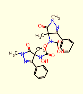 CN1N=C(c2ccccc2)C(C)(N(O)C(=O)ON(C(=O)O)C2(C)C(=O)N(C)N=C2c2ccccc2)C1=O